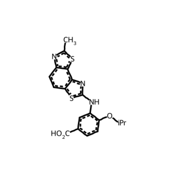 Cc1nc2ccc3sc(Nc4cc(C(=O)O)ccc4OC(C)C)nc3c2s1